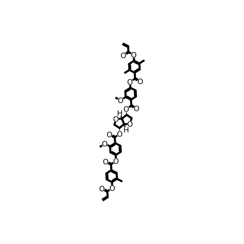 C=CC(=O)Oc1ccc(C(=O)Oc2ccc(C(=O)O[C@@H]3CO[C@H]4[C@@H]3OC[C@H]4OC(=O)c3ccc(OC(=O)c4cc(C)c(OC(=O)C=C)cc4C)cc3OC)c(OC)c2)cc1C